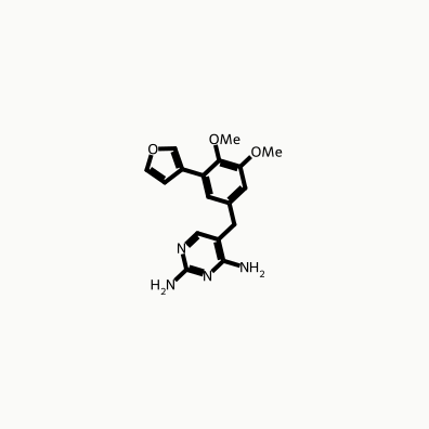 COc1cc(Cc2cnc(N)nc2N)cc(-c2ccoc2)c1OC